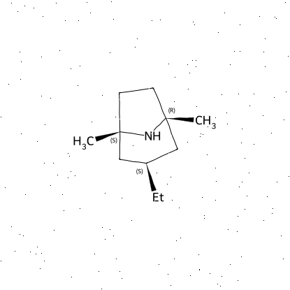 CC[C@H]1C[C@]2(C)CC[C@](C)(C1)N2